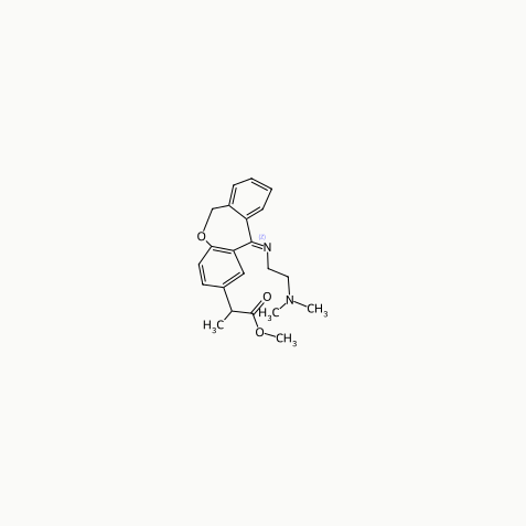 COC(=O)C(C)c1ccc2c(c1)/C(=N\CCN(C)C)c1ccccc1CO2